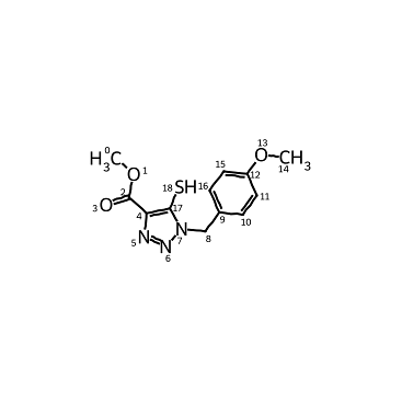 COC(=O)c1nnn(Cc2ccc(OC)cc2)c1S